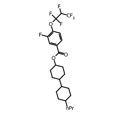 CCCC1CCC(C2CCC(OC(=O)c3ccc(OC(F)(F)C(F)C(F)(F)F)c(F)c3)CC2)CC1